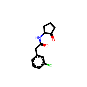 O=C(Cc1cccc(Cl)c1)NC1CCCC1=O